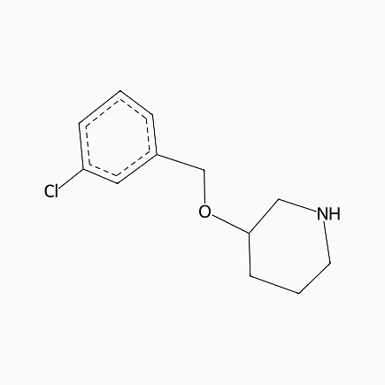 Clc1cccc(COC2CCCNC2)c1